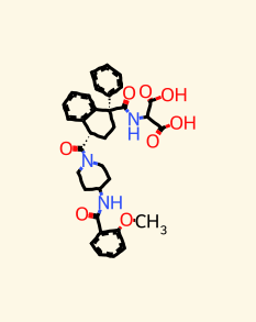 COc1ccccc1C(=O)NC1CCN(C(=O)[C@H]2CC[C@@](C(=O)NC(C(=O)O)C(=O)O)(c3ccccc3)c3ccccc32)CC1